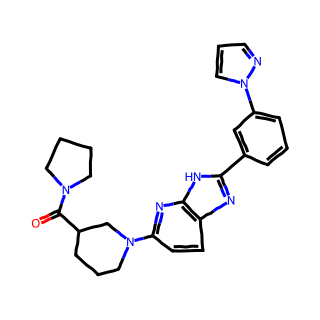 O=C(C1CCCN(c2ccc3nc(-c4cccc(-n5cccn5)c4)[nH]c3n2)C1)N1CCCC1